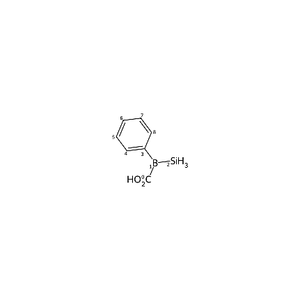 O=C(O)B([SiH3])c1ccccc1